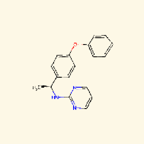 C[C@H](Nc1ncccn1)c1ccc(Oc2ccccc2)cc1